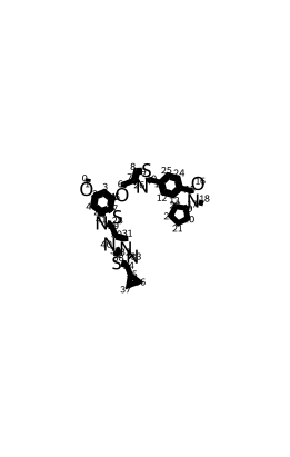 COc1cc(OCc2csc(-c3ccc(C(=O)N(C)C4CCCC4)cc3)n2)c2sc(-c3cn4nc(C5CC5)sc4n3)nc2c1